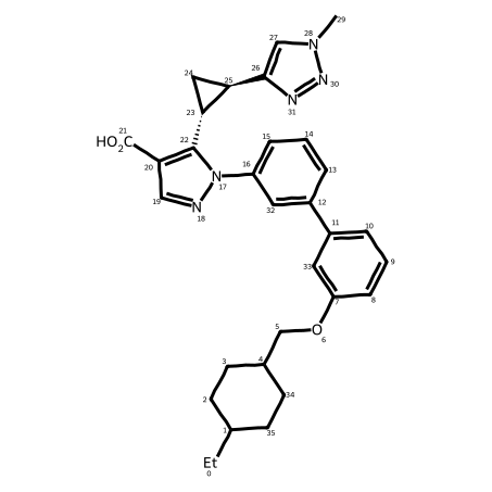 CCC1CCC(COc2cccc(-c3cccc(-n4ncc(C(=O)O)c4[C@@H]4C[C@H]4c4cn(C)nn4)c3)c2)CC1